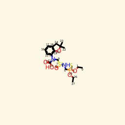 CCOP(=S)(CN[S+]([O-])CN(C(=O)O)c1cccc2c1OC(C)(C)C2)OCC